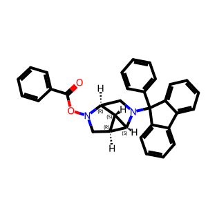 O=C(ON1C[C@H]2[C@H]3[C@H]2N(C2(c4ccccc4)c4ccccc4-c4ccccc42)C[C@@H]31)c1ccccc1